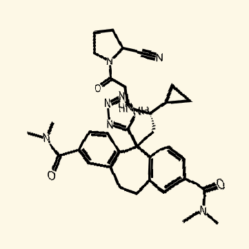 CN(C)C(=O)c1ccc2c(c1)CCc1cc(C(=O)N(C)C)ccc1C2(C[C@H](NCC(=O)N1CCCC1C#N)C1CC1)c1nnn[nH]1